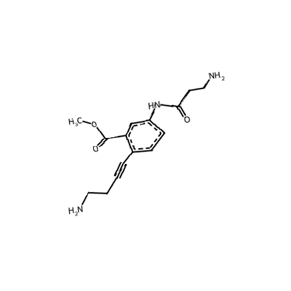 COC(=O)c1cc(NC(=O)CCN)ccc1C#CCCN